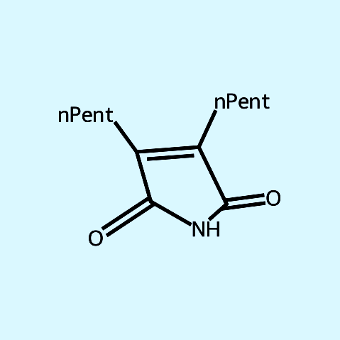 CCCCCC1=C(CCCCC)C(=O)NC1=O